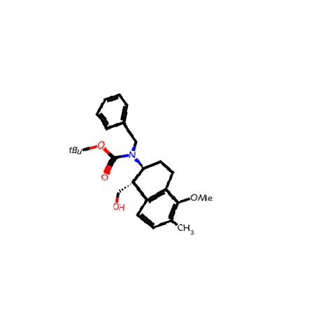 COc1c(C)ccc2c1CC[C@H](N(Cc1ccccc1)C(=O)OC(C)(C)C)[C@H]2CO